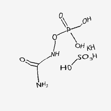 NC(=O)NOP(=O)(O)O.O=S(=O)(O)O.[KH]